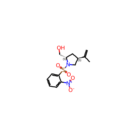 C=C(C)[C@@H]1C[C@@H](CO)N(S(=O)(=O)c2ccccc2[N+](=O)[O-])C1